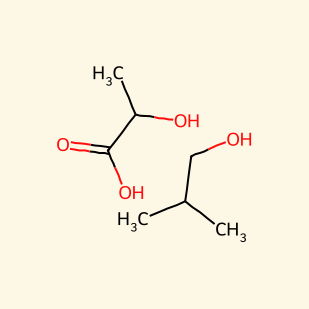 CC(C)CO.CC(O)C(=O)O